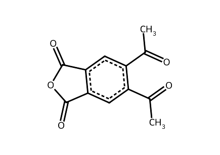 CC(=O)c1cc2c(cc1C(C)=O)C(=O)OC2=O